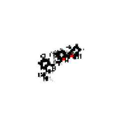 NC(=O)Nc1ccc(Cl)cc1C(=O)NCC(=O)N[C@H]1C[C@H]2CC[C@@H](C1)N2Cc1ccc(Cl)cc1